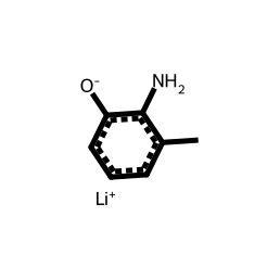 Cc1cccc([O-])c1N.[Li+]